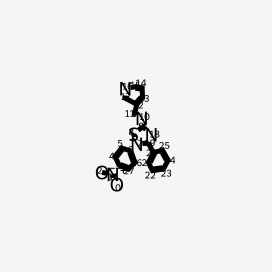 O=[N+]([O-])c1ccc(-n2s/c(=N\Cc3cccnc3)nc2-c2ccccc2)cc1